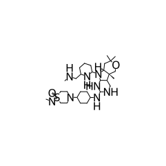 CN=S1(=O)CCN(C2CCC(NC3NCC4C(N3)N(C3CCCC(CNC)N3)[C@@H]3CC(C)(C)OC[C@]43C)CC2)CC1